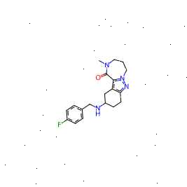 CN1CCCn2nc3c(c2C1=O)CC(NCc1ccc(F)cc1)CC3